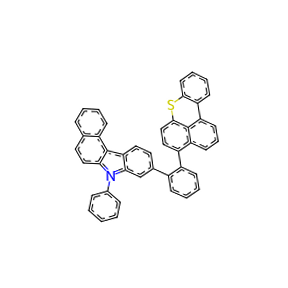 c1ccc(-n2c3cc(-c4ccccc4-c4ccc5c6c(cccc46)-c4ccccc4S5)ccc3c3c4ccccc4ccc32)cc1